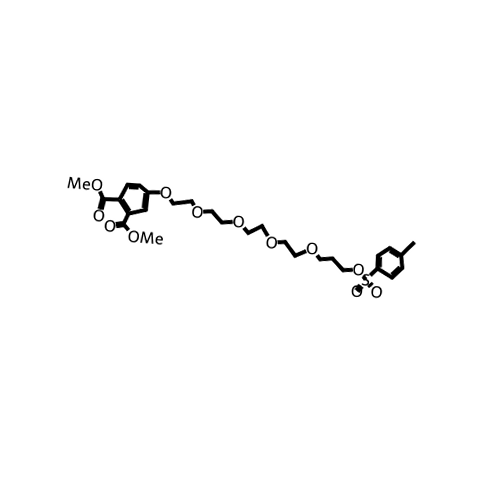 COC(=O)c1ccc(OCCOCCOCCOCCOCCCOS(=O)(=O)c2ccc(C)cc2)cc1C(=O)OC